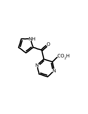 O=C(O)c1nccnc1C(=O)c1ccc[nH]1